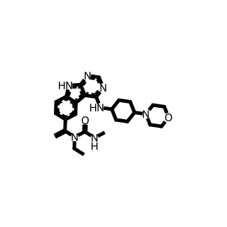 C=C(c1ccc2[nH]c3ncnc(NC4CCC(N5CCOCC5)CC4)c3c2c1)N(CC)C(=O)NC